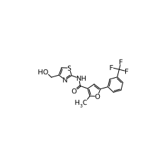 Cc1oc(-c2cccc(C(F)(F)F)c2)cc1C(=O)Nc1nc(CO)cs1